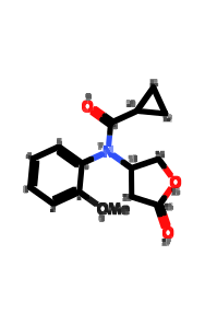 COc1ccccc1N(C(=O)C1CC1)C1COC(=O)C1